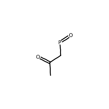 CC(=O)CP=O